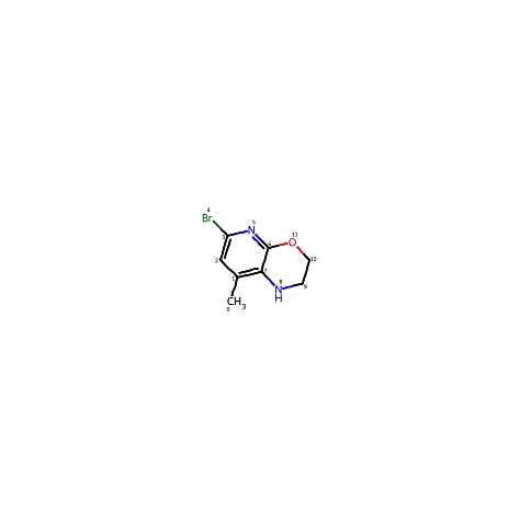 Cc1cc(Br)nc2c1NCCO2